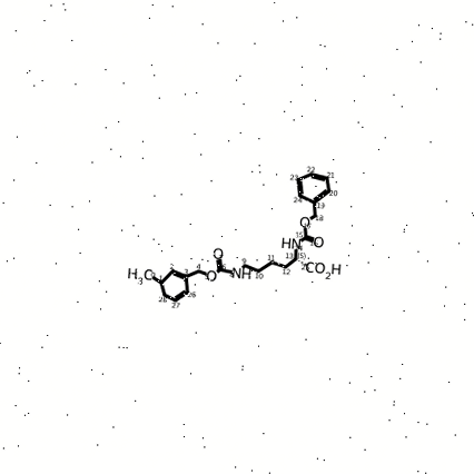 CC1C=C(COC(=O)NCCCC[C@H](NC(=O)OCc2ccccc2)C(=O)O)C=CC1